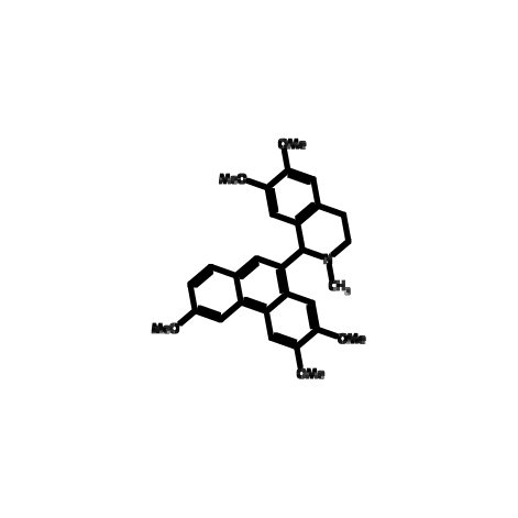 COc1ccc2cc(C3c4cc(OC)c(OC)cc4CCN3C)c3cc(OC)c(OC)cc3c2c1